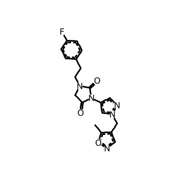 Cc1oncc1Cn1cc(N2C(=O)CN(CCc3ccc(F)cc3)C2=O)cn1